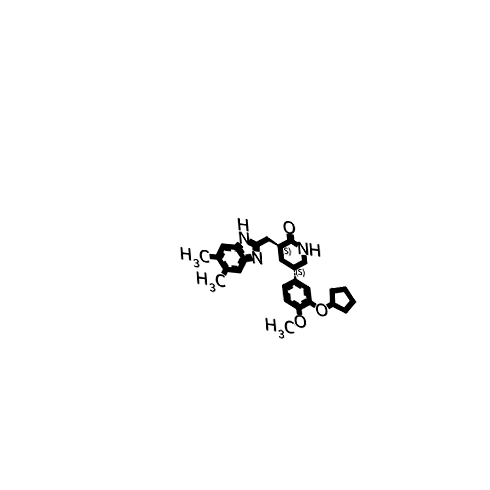 COc1ccc([C@H]2CNC(=O)[C@H](Cc3nc4cc(C)c(C)cc4[nH]3)C2)cc1OC1CCCC1